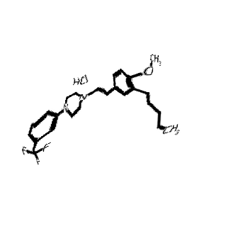 CCCCCc1cc(CCN2CCN(c3cccc(C(F)(F)F)c3)CC2)ccc1OC.Cl